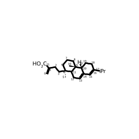 C=C(CC[C@@]1(C)CCC[C@@]2(C)C1CC=C1C=C(C(C)C)CC[C@H]12)C(=O)O